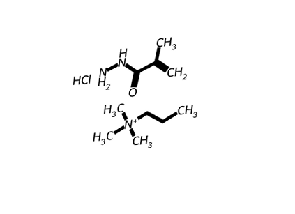 C=C(C)C(=O)NN.CCC[N+](C)(C)C.Cl